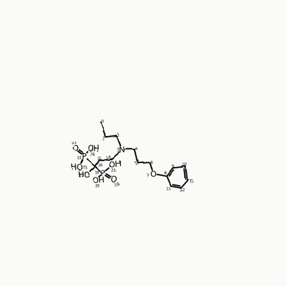 CCCN(CCCOc1ccccc1)CCC(O)(P(=O)(O)O)P(=O)(O)O